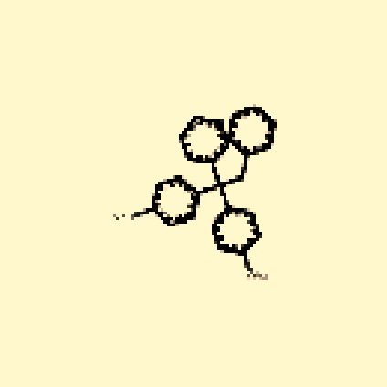 COc1ccc(C(Cc2ccccc2)(c2ccccc2)c2ccc(OC)cc2)cc1